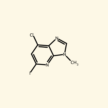 Cn1cnc2c(Cl)cc(I)nc21